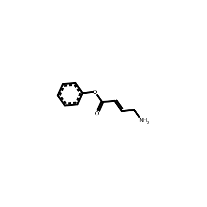 NCC=CC(=O)Oc1ccccc1